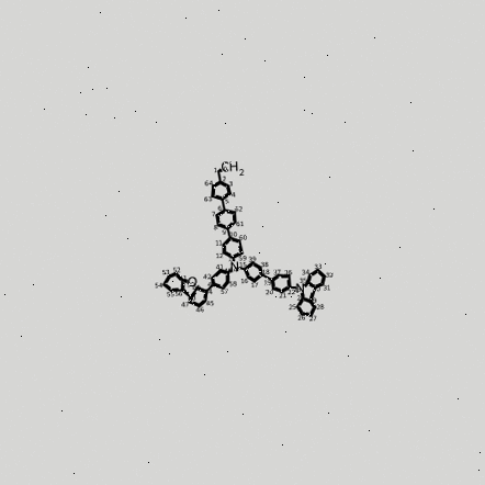 C=Cc1ccc(-c2ccc(-c3ccc(N(c4ccc(-c5ccc(-n6c7ccccc7c7ccccc76)cc5)cc4)c4ccc(-c5cccc6c5oc5ccccc56)cc4)cc3)cc2)cc1